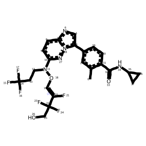 Cc1cc(-c2cnc3ccc(N(CCC(F)(F)F)O/C=C(\F)C(F)(F)CO)nn23)ccc1C(=O)NC1CC1